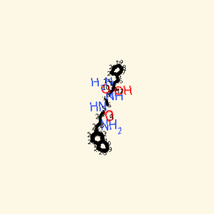 NC(CC(=O)NCCNC(=O)C(O)C(N)Cc1ccccc1)Cc1ccc2ccccc2c1